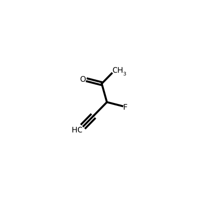 C#CC(F)C(C)=O